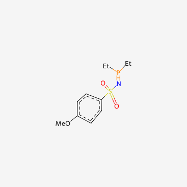 CC[PH](CC)=NS(=O)(=O)c1ccc(OC)cc1